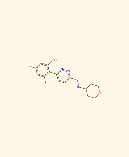 Cc1cc(F)cc(O)c1-c1ccc(CNC2CCOCC2)nn1